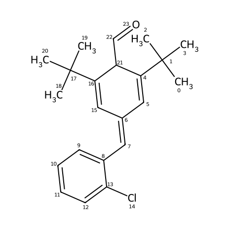 CC(C)(C)C1=CC(=Cc2ccccc2Cl)C=C(C(C)(C)C)C1C=O